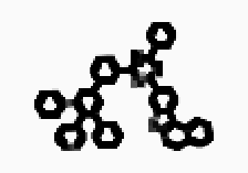 c1ccc(-c2nc(-c3cccc(-c4cc(-c5ccccc5)c(-c5ccccc5)c(-c5ccccc5)c4)c3)nc(-c3ccc4c(c3)sc3ccc5ccccc5c34)n2)cc1